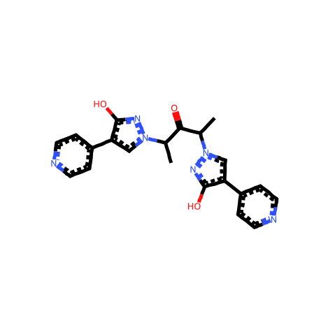 CC(C(=O)C(C)n1cc(-c2ccncc2)c(O)n1)n1cc(-c2ccncc2)c(O)n1